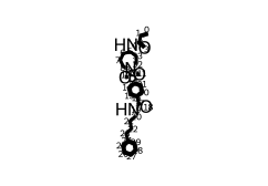 C=CC(=O)NC1CCCN(S(=O)(=O)c2ccc(C(=O)NCCCCc3ccccc3)cc2)CC1